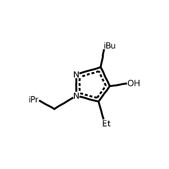 CCc1c(O)c(C(C)CC)nn1CC(C)C